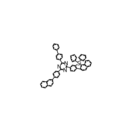 c1ccc(-c2ccc(-c3nc(-c4ccc(-c5ccc6ccccc6c5)cc4)nc(-c4ccc5c(c4)[Si](c4ccccc4)(c4ccccc4)c4c-5ccc5ccccc45)n3)cc2)cc1